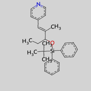 CCC(O[Si](c1ccccc1)(c1ccccc1)C(C)(C)C)C(C)=Cc1ccncc1